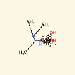 C=C[C@]12CC[C@]3(C)[C@@H]([C@H](C)CCC(=O)NCC/C=C(\CCCCCCCCCCCC)CCCN(CCCCCCCCCCCC)CCCCCCCCCCCC)CC[C@@]3(C=C)[C@@H]1[C@@H](O)CC1C[C@H](O)CC[C@@]12C